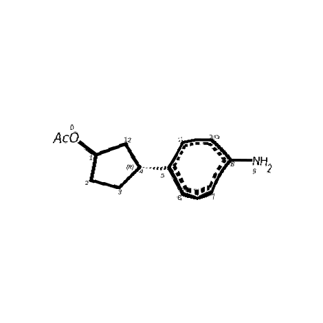 CC(=O)OC1CC[C@@H](c2ccc(N)cc2)C1